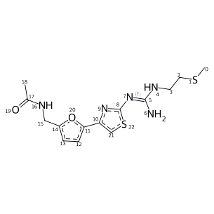 CSCCN/C(N)=N/c1nc(-c2ccc(CNC(C)=O)o2)cs1